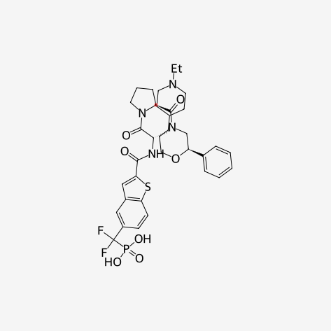 CCN1CCC(C[C@H](NC(=O)c2cc3cc(C(F)(F)P(=O)(O)O)ccc3s2)C(=O)N2CCC[C@H]2C(=O)N2CCO[C@H](c3ccccc3)C2)CC1